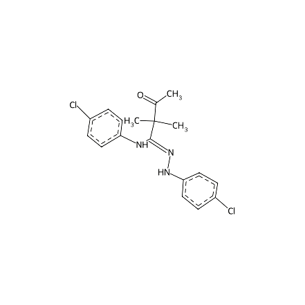 CC(=O)C(C)(C)C(=NNc1ccc(Cl)cc1)Nc1ccc(Cl)cc1